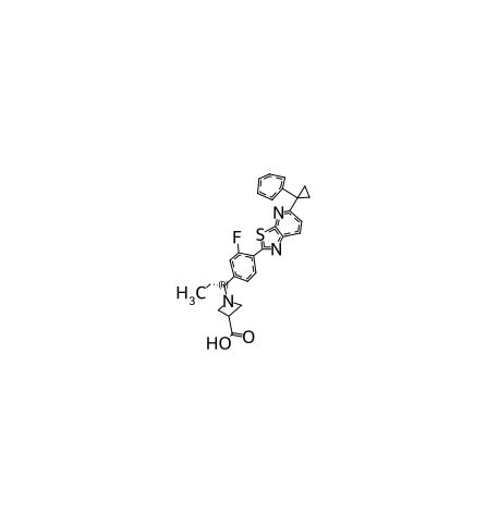 CC[C@H](c1ccc(-c2nc3ccc(C4(c5ccccc5)CC4)nc3s2)c(F)c1)N1CC(C(=O)O)C1